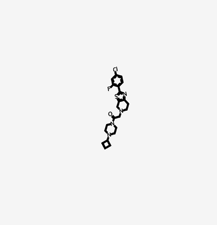 O=C(CN1CCc2nc(-c3ccc(Cl)cc3F)sc2C1)N1CCN(C2CCC2)CC1